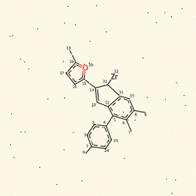 Cc1ccc(-c2c(C)c(C)cc3c2C=C(c2ccc(C)o2)[CH]3[Zr])cc1